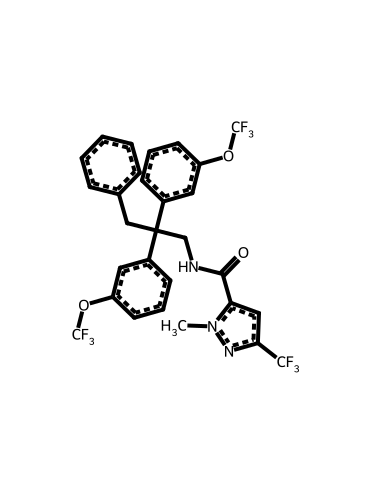 Cn1nc(C(F)(F)F)cc1C(=O)NCC(Cc1ccccc1)(c1cccc(OC(F)(F)F)c1)c1cccc(OC(F)(F)F)c1